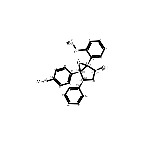 CCCCOc1ccccc1[C@]12O[C@@]1(c1ccc(OC)cc1)[C@H](c1ccccc1)C[C@@H]2O